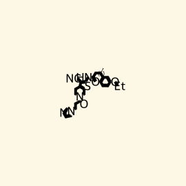 CCOc1cccc([C@@H](C)CC(=O)Nc2sc3c(c2C#N)CCN(C(=O)CCn2ccnc2)C3)c1